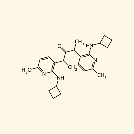 Cc1ccc(C(C)C(=O)C(C)c2ccc(C)nc2NC2CCC2)c(NC2CCC2)n1